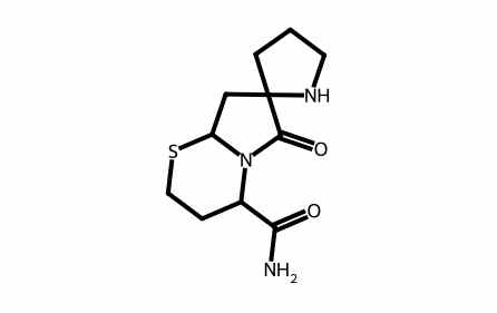 NC(=O)C1CCSC2CC3(CCCN3)C(=O)N21